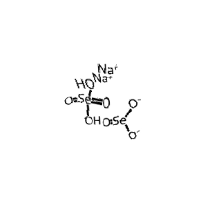 O=[Se](=O)(O)O.O=[Se]([O-])[O-].[Na+].[Na+]